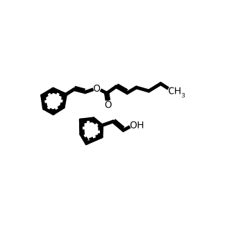 CCCCC=CC(=O)OC=Cc1ccccc1.OC=Cc1ccccc1